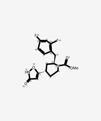 COC(=O)N1CC[C@H](c2cc(=O)[nH]o2)C[C@H]1Cc1ccc(F)cc1F